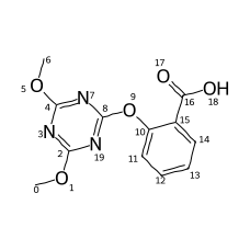 COc1nc(OC)nc(Oc2ccccc2C(=O)O)n1